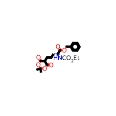 CCOC(=O)N[C@H](CCCC1C(=O)OC(C)(C)OC1=O)C(=O)OCc1ccccc1